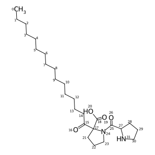 CCCCCCCCCCCCCCCC(=O)C1(C(=O)O)CCCN1C(=O)C1CCCN1